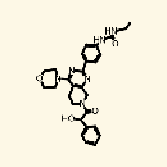 CCNC(=O)Nc1ccc(-c2nc3c(c(N4CCOCC4)n2)CCN(C(=O)C(O)c2ccccc2)C3)cc1